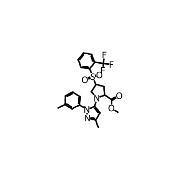 COC(=O)C1CC(S(=O)(=O)c2ccccc2C(F)(F)F)CN1c1cc(C)nn1-c1cccc(C)c1